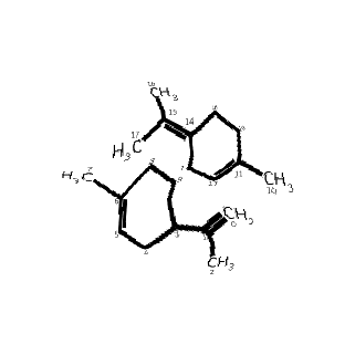 C=C(C)C1CC=C(C)CC1.CC1=CCC(=C(C)C)CC1